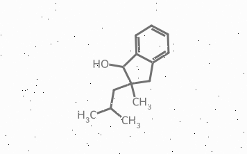 CC(C)CC1(C)Cc2ccccc2C1O